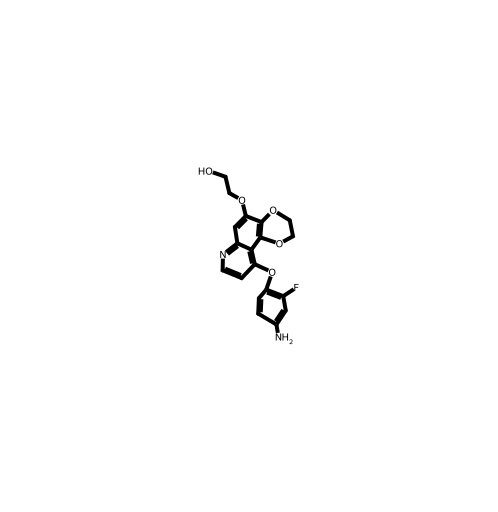 Nc1ccc(Oc2ccnc3cc(OCCO)c4c(c23)OCCO4)c(F)c1